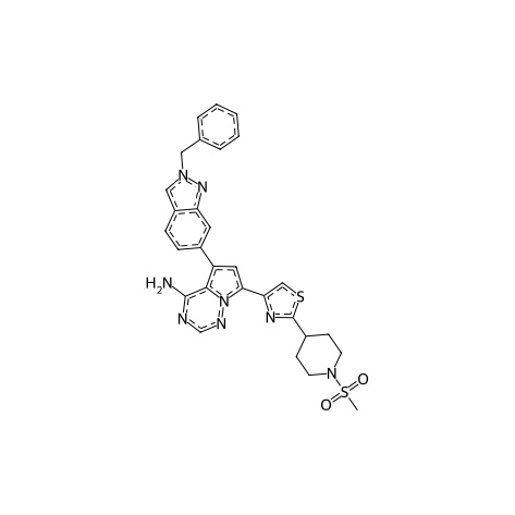 CS(=O)(=O)N1CCC(c2nc(-c3cc(-c4ccc5cn(Cc6ccccc6)nc5c4)c4c(N)ncnn34)cs2)CC1